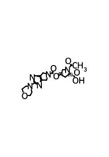 CC(=O)N1C[C@H](OC(=O)N2Cc3cnc(N4CCOCC4)nc3C2)C[C@H]1C(=O)O